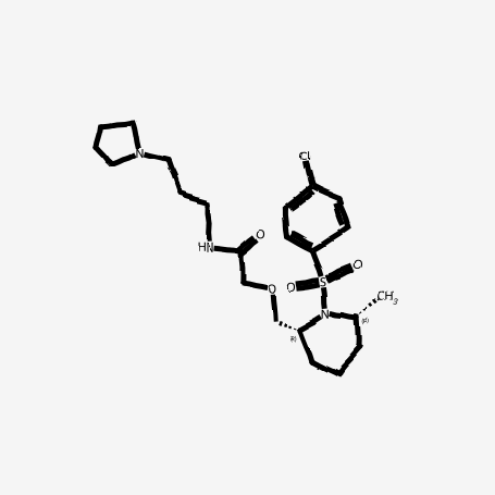 C[C@@H]1CCC[C@H](COCC(=O)NCCCN2CCCC2)N1S(=O)(=O)c1ccc(Cl)cc1